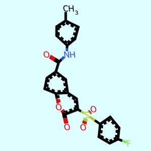 Cc1ccc(NC(=O)c2ccc3oc(=O)c(S(=O)(=O)c4ccc(F)cc4)cc3c2)cc1